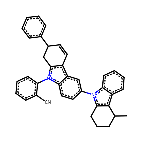 CC1CCCc2c1c1ccccc1n2-c1ccc2c(c1)c1c(n2-c2ccccc2C#N)CC(c2ccccc2)C=C1